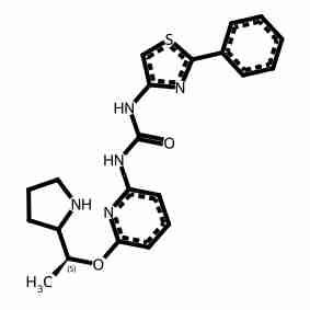 C[C@H](Oc1cccc(NC(=O)Nc2csc(-c3ccccc3)n2)n1)C1CCCN1